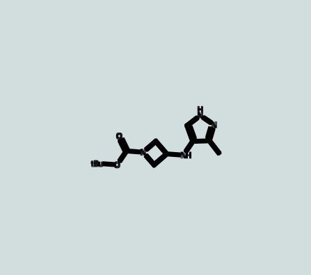 Cc1n[nH]cc1NC1CN(C(=O)OC(C)(C)C)C1